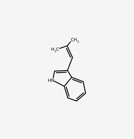 CC(C)=Cc1c[nH]c2ccccc12